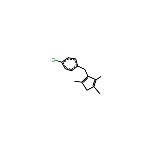 CC1=C(C)C(Cc2ccc(Cl)cc2)=C(C)C1